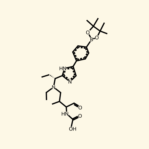 CC[C@H](c1ncc(-c2ccc(B3OC(C)(C)C(C)(C)O3)cc2)[nH]1)N(CC)CC(C)C(C=O)NC(=O)O